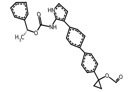 C[C@@H](OC(=O)Nc1[nH]ccc1-c1ccc(-c2ccc(C3(OC=O)CC3)cc2)cc1)c1ccccc1